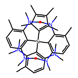 CC1=C(C)C(C)C([Si](c2c(N(C)C)ccc(C)c2N(C)C)(c2c(N(C)C)ccc(C)c2N(C)C)c2c(N(C)C)ccc(C)c2N(C)C)=C1C